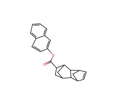 O=C(Oc1ccc2ccccc2c1)C1CC2CC1C1C3C=CC(C3)C21